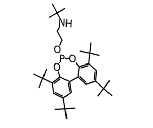 CC(C)(C)NCCOp1oc2c(C(C)(C)C)cc(C(C)(C)C)cc2c2cc(C(C)(C)C)cc(C(C)(C)C)c2o1